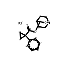 Cl.O=C(OC1CN2CCC1CC2)C1(c2ccccc2)CC1